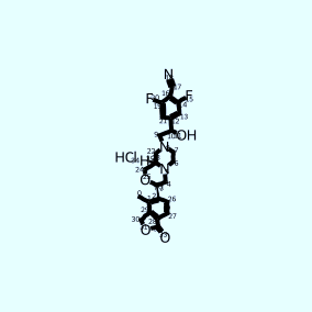 Cc1c([C@@H]2CN3CCN(CC(O)c4cc(F)c(C#N)c(F)c4)C[C@H]3CO2)ccc2c1COC2=O.Cl